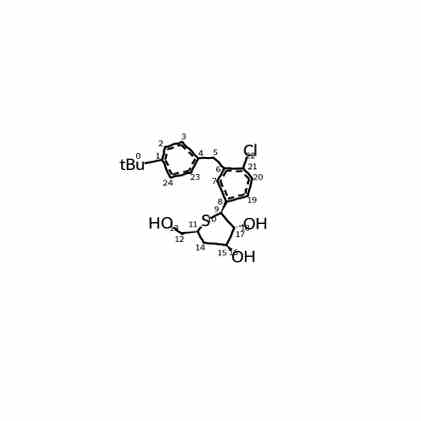 CC(C)(C)c1ccc(Cc2cc([C@@H]3S[C@H](CO)C[C@H](O)[C@H]3O)ccc2Cl)cc1